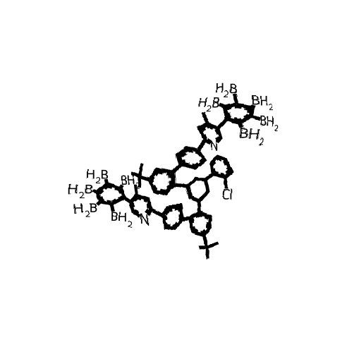 Bc1c(B)c(B)c(-c2cnc(-c3ccc(-c4cc(C(C)(C)C)ccc4C4CC(c5ccccc5Cl)CC(c5ccc(C(C)(C)C)cc5-c5ccc(-c6cc(C)c(-c7c(B)c(B)c(B)c(B)c7B)cn6)cc5)C4)cc3)cc2C)c(B)c1B